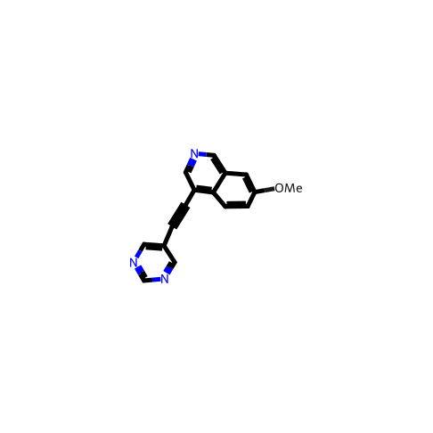 COc1ccc2c(C#Cc3cncnc3)cncc2c1